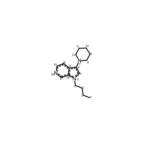 CCCCn1cc(N2CCCCC2)c2ccncc21